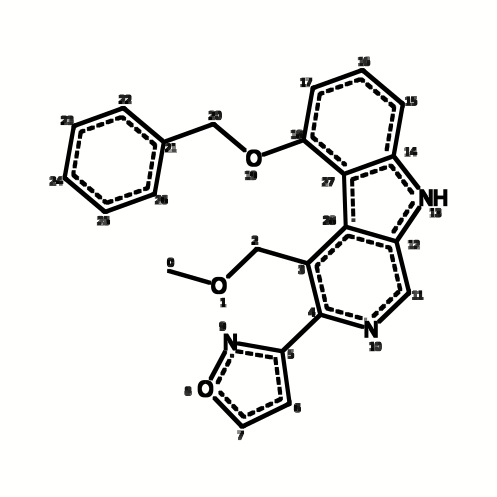 COCc1c(-c2ccon2)ncc2[nH]c3cccc(OCc4ccccc4)c3c12